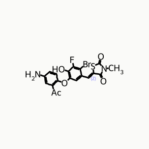 CC(=O)c1cc(N)ccc1Oc1cc(/C=C2\SC(=O)N(C)C2=O)c(Br)c(F)c1O